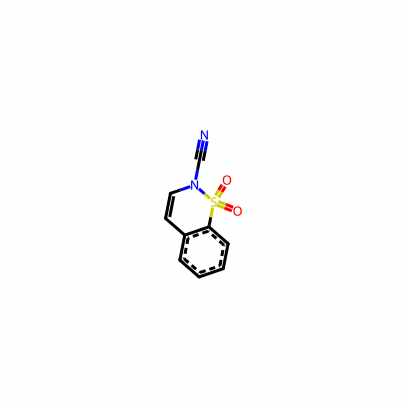 N#CN1C=Cc2ccccc2S1(=O)=O